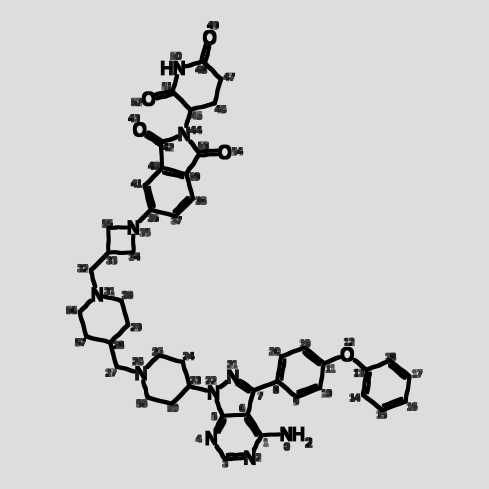 Nc1ncnc2c1c(-c1ccc(Oc3ccccc3)cc1)nn2C1CCN(CC2CCN(CC3CN(c4ccc5c(c4)C(=O)N(C4CCC(=O)NC4=O)C5=O)C3)CC2)CC1